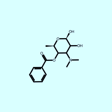 C[C@H]1O[C@@H](O)C(O)C(N(C)C)C1OC(=O)c1ccccc1